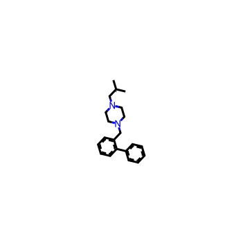 C[C](C)CN1CCN(Cc2ccccc2-c2ccccc2)CC1